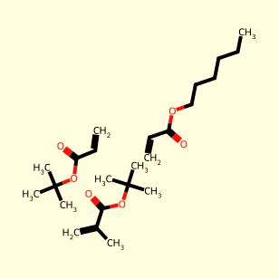 C=C(C)C(=O)OC(C)(C)C.C=CC(=O)OC(C)(C)C.C=CC(=O)OCCCCCC